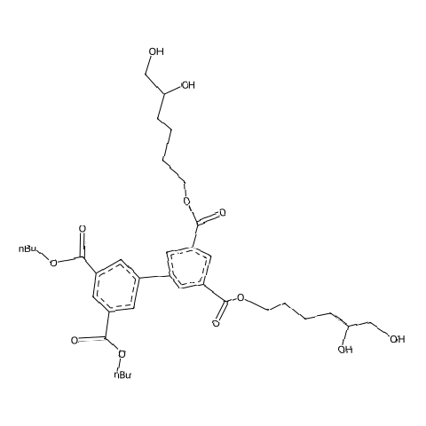 CCCCOC(=O)c1cc(C(=O)OCCCC)cc(-c2cc(C(=O)OCCCCC(O)CO)cc(C(=O)OCCCCC(O)CO)c2)c1